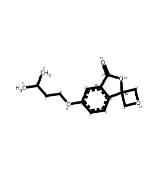 CC(C)CCOc1ccc2c(c1)C(=O)OC21COC1